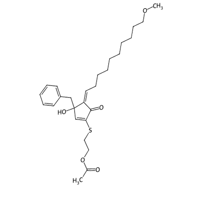 COCCCCCCCCCC=C1C(=O)C(SCCOC(C)=O)=CC1(O)Cc1ccccc1